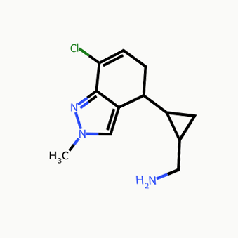 Cn1cc2c(n1)C(Cl)=CCC2C1CC1CN